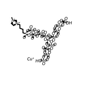 Cn1cc[n+](CCCCS(=O)(=O)[O][Mo](=[O])(=[O])[O][Mo](=[O])(=[O])[O][Mo](=[O])(=[O])[O][Mo](=[O])(=[O])[O]P(=O)([O][Mo](=[O])(=[O])[O][Mo](=[O])(=[O])[O][Mo](=[O])(=[O])[O][Mo](=[O])(=[O])[OH])[O][Mo](=[O])(=[O])[O][Mo](=[O])(=[O])[O][Mo](=[O])(=[O])[O][Mo](=[O])(=[O])[OH])c1.[Cu+]